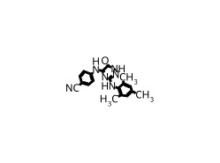 Cc1cc(C)c(Nc2n[nH]c(=O)c(Nc3ccc(C#N)cc3)n2)c(C)c1